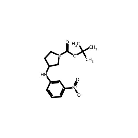 CC(C)(C)OC(=O)N1CCC(Nc2cccc([N+](=O)[O-])c2)C1